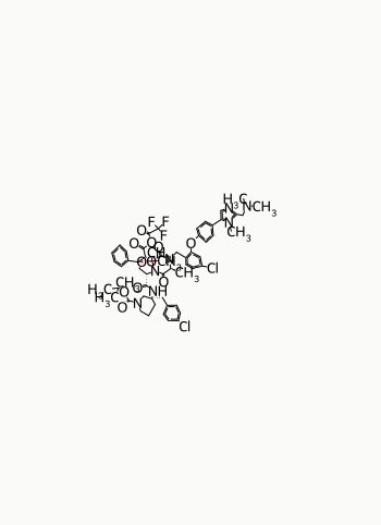 C[C@@H](C(=O)N1[C@H](C(=O)N[C@@]2(Cc3ccc(Cl)cc3)CCCN(C(=O)OC(C)(C)C)C2)COC1(C)C)N(Cc1ccc(Cl)cc1Oc1ccc(-c2cnc(CN(C)C)n2C)cc1)C(=O)O[C@@H](Cc1ccccc1)C(=O)OC(=O)C(F)(F)F